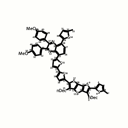 CCCCCCCCCCc1c(-c2ccc(C)s2)sc2c1sc1c(CCCCCCCCCC)c(-c3ccc(-c4ccc(-c5ccc(-c6ccc(C)s6)c6nc(-c7ccc(OC)cc7)c(-c7ccc(OC)cc7)nc56)s4)s3)sc12